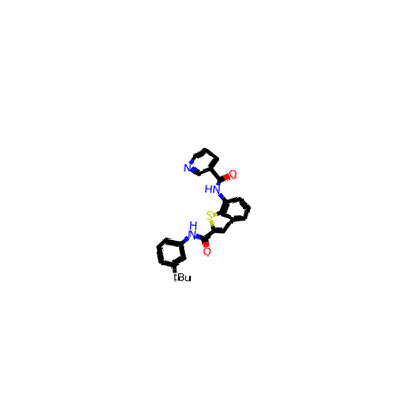 CC(C)(C)c1cccc(NC(=O)c2cc3cccc(NC(=O)c4cccnc4)c3s2)c1